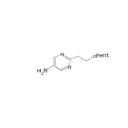 CCCCCCCc1ncc(N)cn1